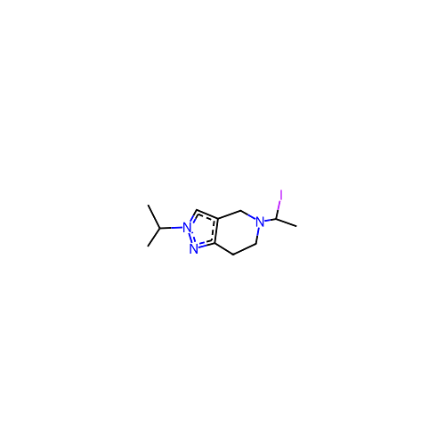 CC(I)N1CCc2nn(C(C)C)cc2C1